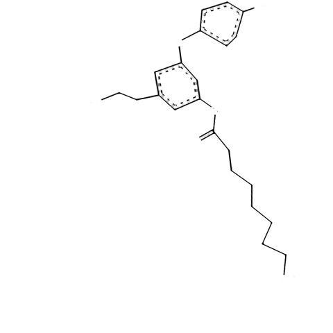 CCCCCCCCCCCCCCCCCC(=O)Nc1cc(CCCCCCCCCCCC)cc(Sc2ccc(O)cc2)c1